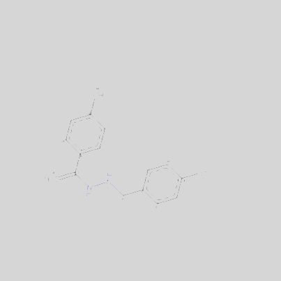 C=C(NNCc1ccc(CC)cc1)c1ccc(C)cc1